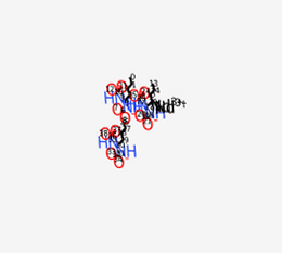 CCCCC(NC(=O)[O-])NC(=O)[O-].CCCCC(NC(=O)[O-])NC(=O)[O-].CCCCC(NC(=O)[O-])NC(=O)[O-].[Nd+3].[Nd+3]